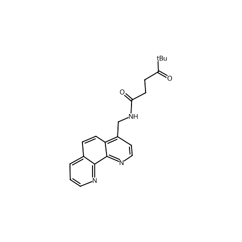 CC(C)(C)C(=O)CCC(=O)NCc1ccnc2c1ccc1cccnc12